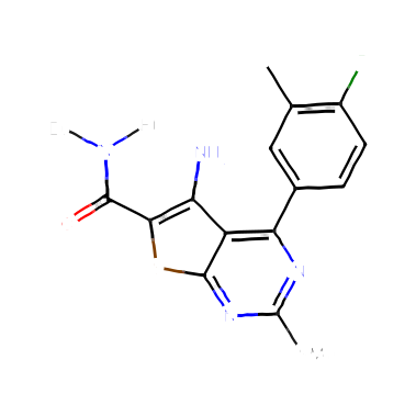 CCN(CC)C(=O)c1sc2nc(SC)nc(-c3ccc(F)c(C)c3)c2c1N